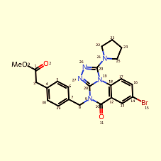 COC(=O)Cc1ccc(Cn2c(=O)c3cc(Br)ccc3n3c(N4CCCC4)nnc23)cc1